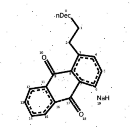 CCCCCCCCCCCCc1cccc2c1C(=O)c1ccccc1C2=O.[NaH]